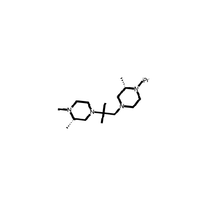 CC(C)N1CCN(CC(C)(C)N2CCN(C)[C@@H](C)C2)C[C@@H]1C